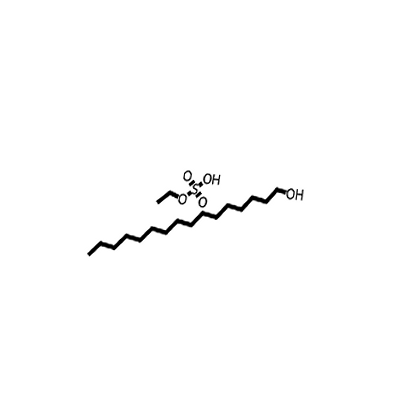 CCCCCCCCCCCCCCCCO.CCOS(=O)(=O)O